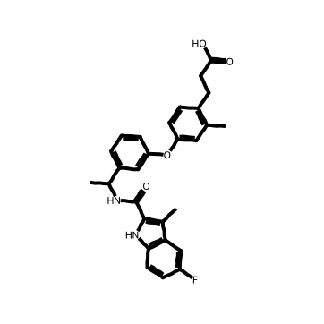 Cc1cc(Oc2cccc(C(C)NC(=O)c3[nH]c4ccc(F)cc4c3C)c2)ccc1CCC(=O)O